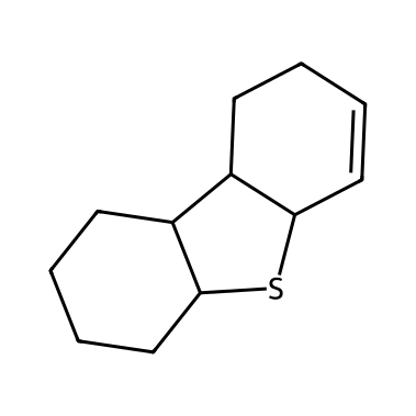 C1=CC2SC3CCCCC3C2CC1